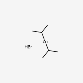 Br.C[CH](C)[Zn][CH](C)C